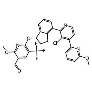 COc1cccc(-c2ccnc(-c3cccc4c3CC[C@@H]4Oc3nc(OC)c(C=O)cc3C(F)(F)F)c2Cl)n1